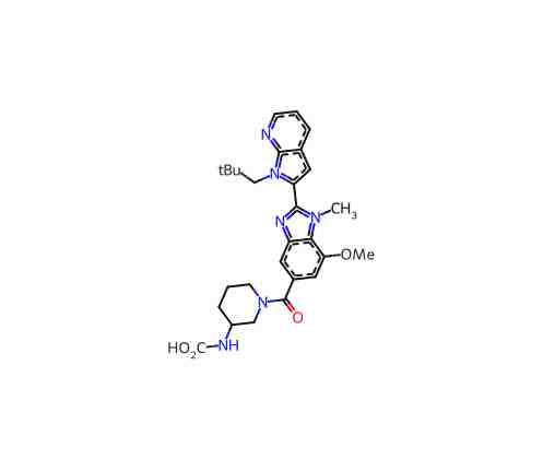 COc1cc(C(=O)N2CCCC(NC(=O)O)C2)cc2nc(-c3cc4cccnc4n3CC(C)(C)C)n(C)c12